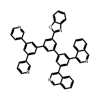 c1cncc(-c2cc(-c3cccnc3)cc(-c3cc(-c4cc(-c5cncc6ccccc56)cc(-c5cncc6ccccc56)c4)cc(-c4nc5ccccc5o4)c3)c2)c1